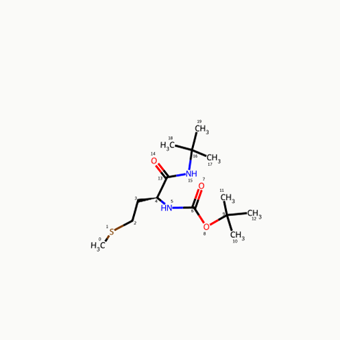 CSCC[C@H](NC(=O)OC(C)(C)C)C(=O)NC(C)(C)C